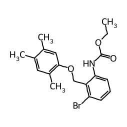 CCOC(=O)Nc1cccc(Br)c1COc1cc(C)c(C)cc1C